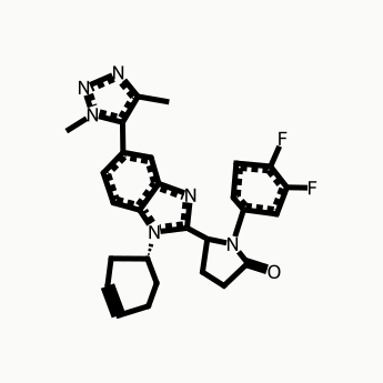 Cc1nnn(C)c1-c1ccc2c(c1)nc(C1CCC(=O)N1c1ccc(F)c(F)c1)n2[C@H]1CC#CCC1